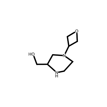 OCC1CN(C2COC2)CCN1